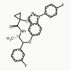 C[C@H](NC(=O)C1(C)CC1)C(Oc1ccc2c(cnn2-c2ccc(F)cc2)c1)c1cccc(F)c1